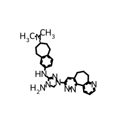 CN(C)[C@H]1CCc2ccc(NC3=NN(c4cc5c(nn4)-c4cccnc4CCC5)CN3N)cc2CC1